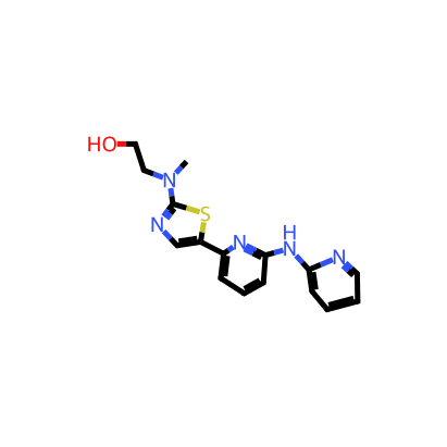 CN(CCO)c1ncc(-c2cccc(Nc3ccccn3)n2)s1